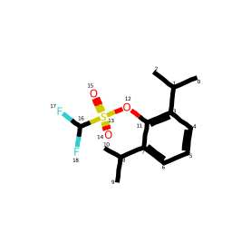 CC(C)c1cccc(C(C)C)c1OS(=O)(=O)C(F)F